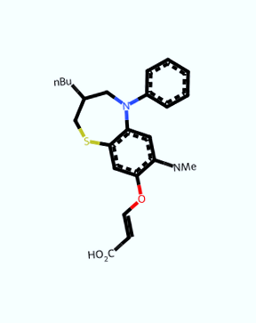 CCCCC1CSc2cc(O/C=C/C(=O)O)c(NC)cc2N(c2ccccc2)C1